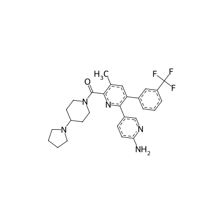 Cc1cc(-c2cccc(C(F)(F)F)c2)c(-c2ccc(N)nc2)nc1C(=O)N1CCC(N2CCCC2)CC1